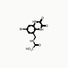 O=C(O)C(=O)NCc1cc(Br)cc2[nH]c(=O)c(=O)[nH]c12